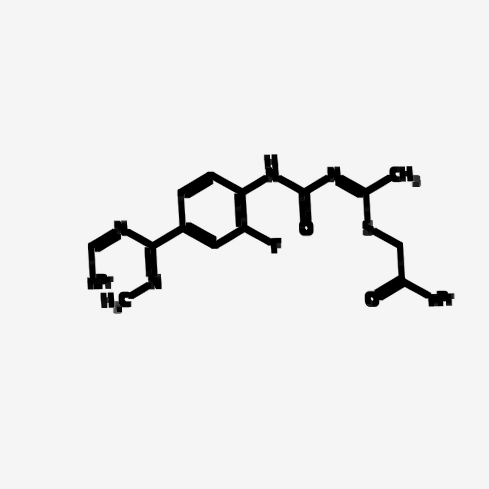 CCC/C=N\C(=N/C)c1ccc(NC(=O)/N=C(/C)SCC(=O)CCC)c(F)c1